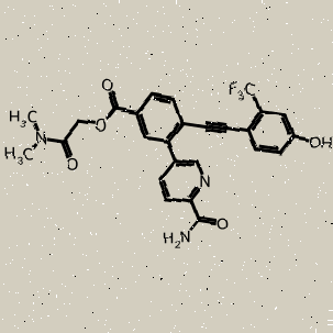 CN(C)C(=O)COC(=O)c1ccc(C#Cc2ccc(O)cc2C(F)(F)F)c(-c2ccc(C(N)=O)nc2)c1